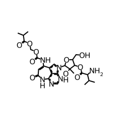 CC(C)C(=O)OCOC(=O)NC1=CC(=O)Nc2ncnc3c2c1cn3C1OC(CO)C(OC(=O)C(N)C(C)C)C1(C)O